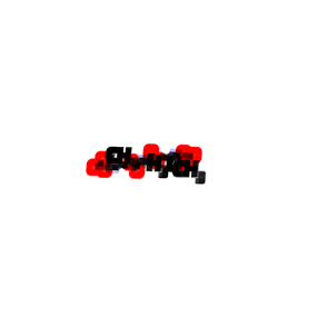 CC1OC(=O)O/C1=C/CCOC(=O)/C=C/C(=O)OCC/C=C1/OC(=O)OC1(C)C